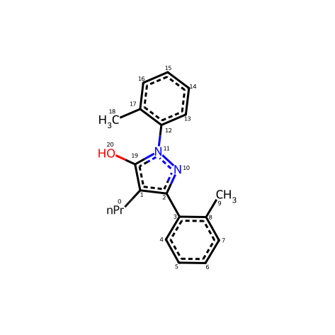 CCCc1c(-c2ccccc2C)nn(-c2ccccc2C)c1O